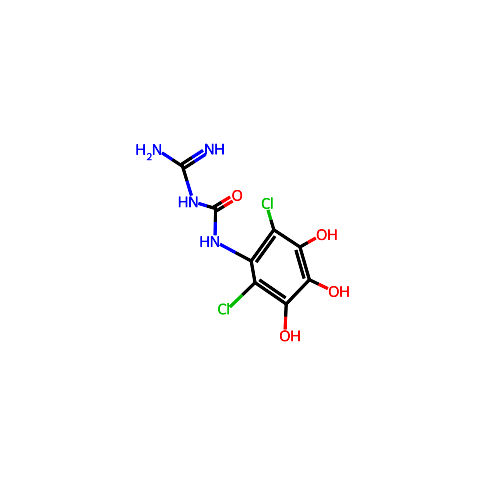 N=C(N)NC(=O)Nc1c(Cl)c(O)c(O)c(O)c1Cl